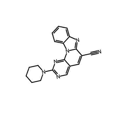 N#Cc1cc2cnc(N3CCCCC3)nc2n2c1nc1ccccc12